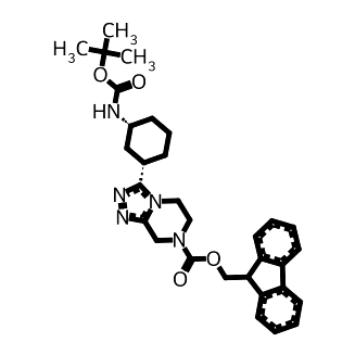 CC(C)(C)OC(=O)N[C@@H]1CCC[C@H](c2nnc3n2CCN(C(=O)OCC2c4ccccc4-c4ccccc42)C3)C1